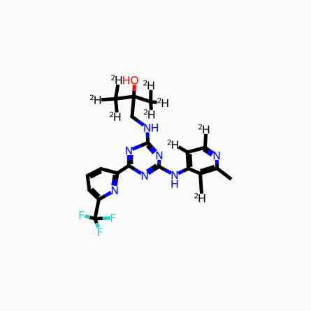 [2H]c1nc(C)c([2H])c(Nc2nc(NCC(O)(C([2H])([2H])[2H])C([2H])([2H])[2H])nc(-c3cccc(C(F)(F)F)n3)n2)c1[2H]